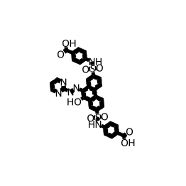 O=C(O)c1ccc(NS(=O)(=O)c2ccc3c(c2)c(O)c(/N=N/c2ncccn2)c2cc(S(=O)(=O)Nc4ccc(C(=O)O)cc4)ccc23)cc1